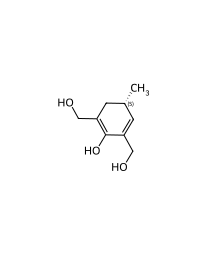 C[C@@H]1C=C(CO)C(O)=C(CO)C1